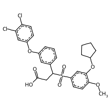 COc1ccc(S(=O)(=O)C(CC(=O)O)c2cccc(Oc3ccc(Cl)c(Cl)c3)c2)cc1OC1CCCC1